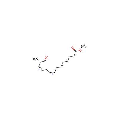 COC(=O)CCCC=CC/C=C\C/C=C\C(C)C=O